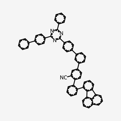 N#Cc1cc(-c2cccc(-c3ccc(-c4nc(-c5ccccc5)nc(-c5ccc(-c6ccccc6)cc5)n4)cc3)c2)ccc1-c1ccccc1-c1cccc2c1-c1cccc3cccc-2c13